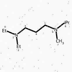 CCN(CC)CCCN(C)C(C)C